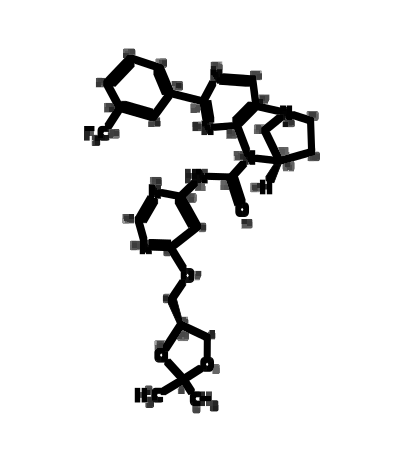 CC1(C)OC[C@H](COc2cc(NC(=O)N3c4nc(-c5cccc(C(F)(F)F)c5)ncc4N4CC[C@H]3C4)ncn2)O1